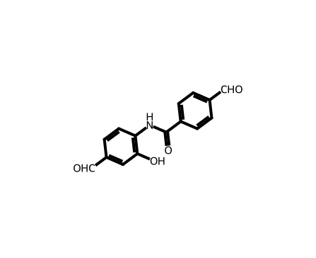 O=Cc1ccc(C(=O)Nc2ccc(C=O)cc2O)cc1